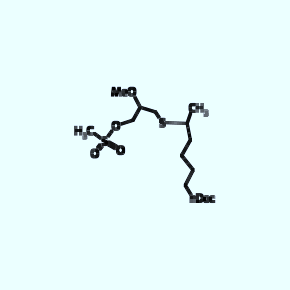 CCCCCCCCCCCCCCC(C)SCC(COS(C)(=O)=O)OC